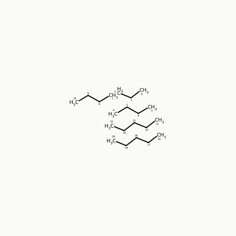 CCC.CCCC.CCCC.CCCCC.CCCCC